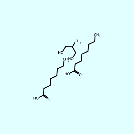 CC(CO)CO.CCCCCCCC(=O)O.CCCCCCCC(=O)O